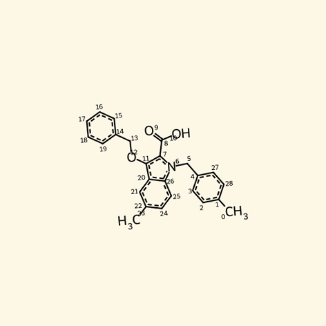 Cc1ccc(Cn2c(C(=O)O)c(OCc3ccccc3)c3cc(C)ccc32)cc1